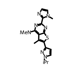 CNc1nc(-c2nccn2C)nc2sc(-c3ccn(C(C)C)n3)c(C)c12